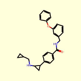 O=C(NCc1cccc(Oc2ccccc2)c1)c1ccc(C2CC2NCC2CC2)cc1